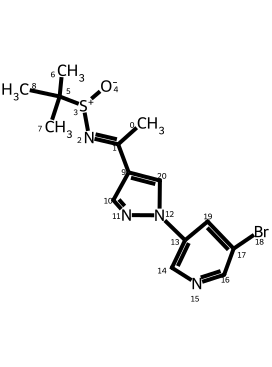 CC(=N[S+]([O-])C(C)(C)C)c1cnn(-c2cncc(Br)c2)c1